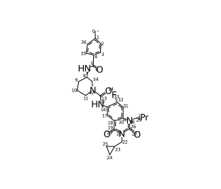 [CH2]c1ccc(C(=O)N[C@@H]2CCCN(C(=O)Nc3cc4c(=O)n(CC5CC5)c(=O)n(C(C)C)c4cc3F)C2)cc1